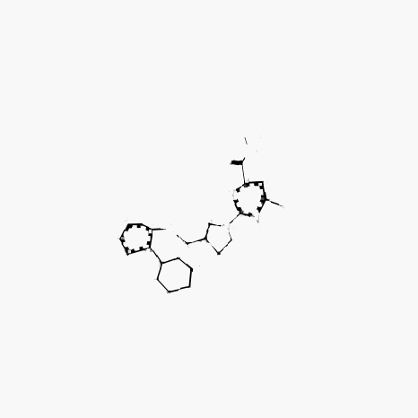 COC(=O)c1cc(C)nc(N2CCC(COc3ccccc3C3CCCCC3)C2)n1